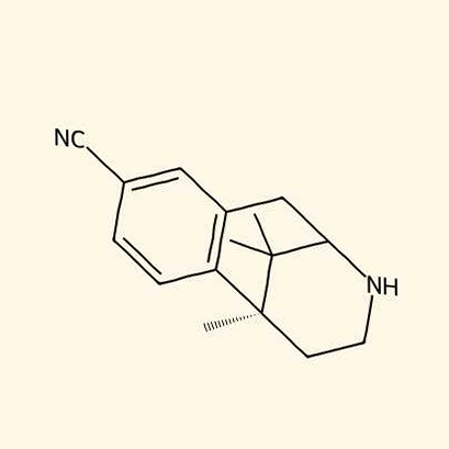 CC1(C)C2Cc3cc(C#N)ccc3[C@]1(C)CCN2